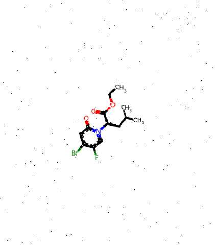 CCOC(=O)C(CC(C)C)n1cc(F)c(Br)cc1=O